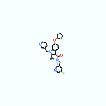 CC(C)c1c(C(=O)NCc2cncc(F)c2)c2ccc(OC3CCCC3)cc2n1Cc1cccnc1